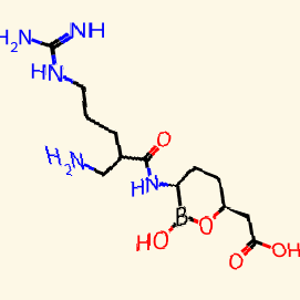 N=C(N)NCCCC(CN)C(=O)N[C@H]1CC[C@@H](CC(=O)O)OB1O